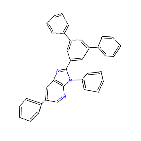 c1ccc(-c2cc(-c3ccccc3)cc(-c3nc4cc(-c5ccccc5)cnc4n3-c3ccccc3)c2)cc1